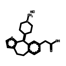 CN1CCC(=C2c3cc(CC(=O)O)ccc3CCc3ccsc32)CC1.Cl